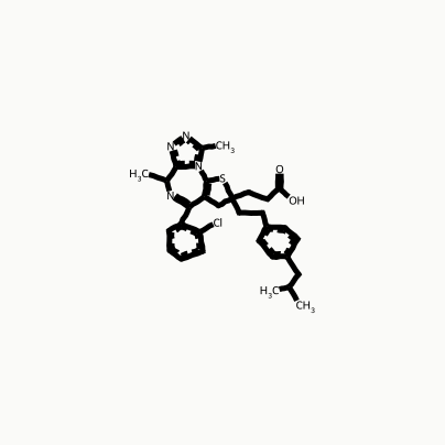 Cc1nnc2n1C1=C(CC(CCC(=O)O)(CCc3ccc(CC(C)C)cc3)S1)C(c1ccccc1Cl)=NC2C